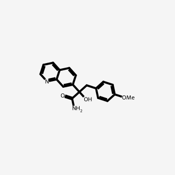 COc1ccc(CC(O)(C(N)=O)c2ccc3cccnc3c2)cc1